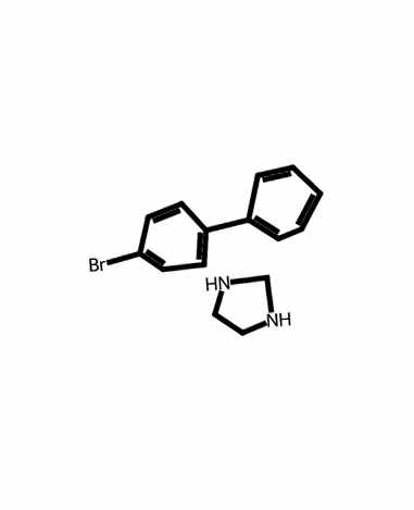 Brc1ccc(-c2ccccc2)cc1.C1CNCN1